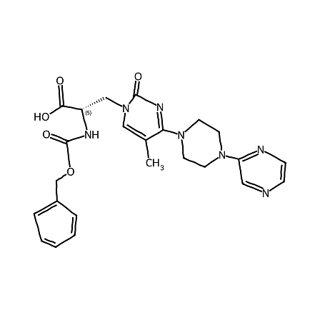 Cc1cn(C[C@H](NC(=O)OCc2ccccc2)C(=O)O)c(=O)nc1N1CCN(c2cnccn2)CC1